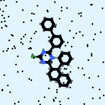 Clc1nc(-c2cccc(-c3ccccc3)c2)nc(-c2ccc3ccccc3c2-c2ccccc2)n1